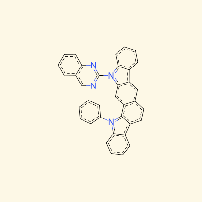 c1ccc(-n2c3ccccc3c3ccc4cc5c6ccccc6n(-c6ncc7ccccc7n6)c5cc4c32)cc1